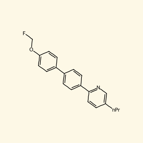 CCCc1ccc(-c2ccc(-c3ccc(OCF)cc3)cc2)nc1